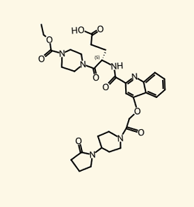 CCOC(=O)N1CCN(C(=O)[C@H](CCC(=O)O)NC(=O)c2cc(OCC(=O)N3CCC(N4CCCC4=O)CC3)c3ccccc3n2)CC1